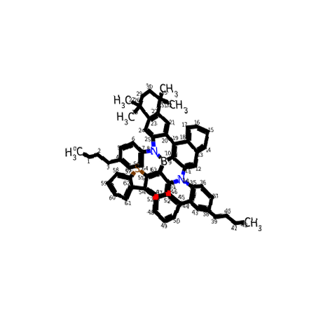 CCCCc1ccc(N2B3c4c(cc5ccccc5c4-c4cc5c(cc42)C(C)(C)CCC5(C)C)N(c2ccc(CCCC)cc2-c2ccccc2)c2ccc4c(sc5ccccc54)c23)cc1